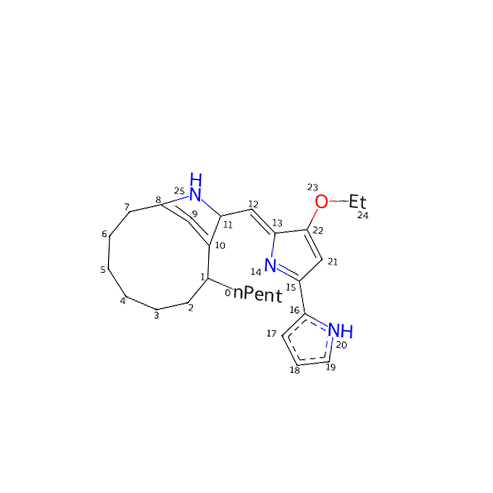 CCCCCC1CCCCCCC2=C=C1C(C=C1N=C(c3ccc[nH]3)C=C1OCC)N2